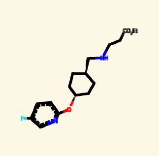 CCOC(=O)CCNC[C@H]1CC[C@H](Oc2ccc(F)cn2)CC1